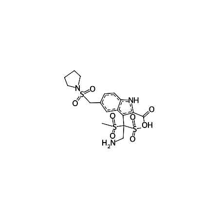 CS(=O)(=O)C(CN)(c1c(C(=O)O)[nH]c2ccc(CS(=O)(=O)N3CCCC3)cc12)S(C)(=O)=O